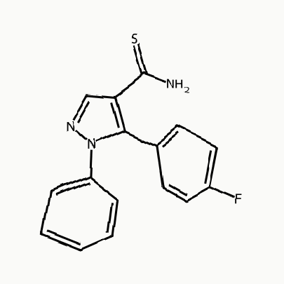 NC(=S)c1cnn(-c2ccccc2)c1-c1ccc(F)cc1